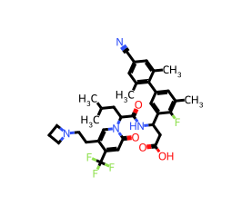 Cc1cc(-c2c(C)cc(C#N)cc2C)cc(C(CC(=O)O)NC(=O)C(CC(C)C)n2cc(CCN3CCC3)c(C(F)(F)F)cc2=O)c1F